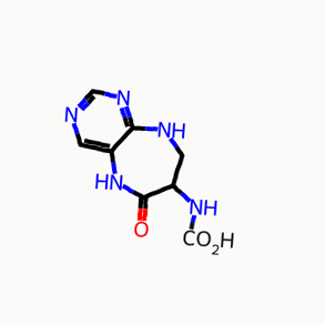 O=C(O)NC1CNc2ncncc2NC1=O